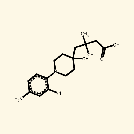 CC(C)(CC(=O)O)CC1(O)CCN(c2ccc(N)cc2Cl)CC1